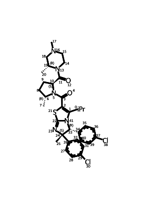 CC(C)C1=C(C(=O)N2[C@H](C)CC[C@H]2C(=O)N2CCN(C)C[C@H]2C)SC2=N[C@@](C)(c3ccc(Cl)cc3)[C@@H](c3ccc(Cl)cc3)N21